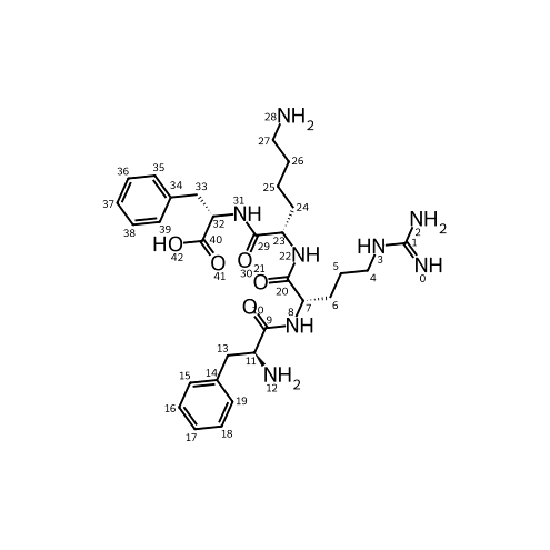 N=C(N)NCCC[C@H](NC(=O)[C@@H](N)Cc1ccccc1)C(=O)N[C@@H](CCCCN)C(=O)N[C@@H](Cc1ccccc1)C(=O)O